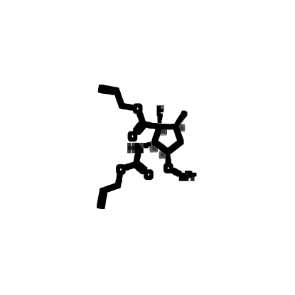 C=CCOC(=O)N[C@H]1[C@H](OCCC)C[C@H](C)[C@]1(F)C(=O)OCC=C